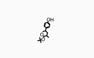 CC(CC(C)c1ccc(O)cc1)C(=O)OC(C)(C)C